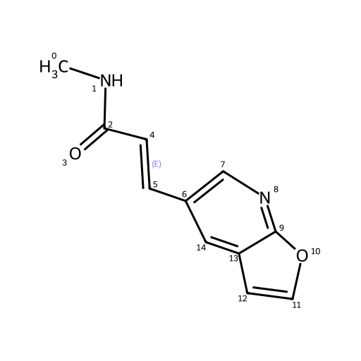 CNC(=O)/C=C/c1cnc2occc2c1